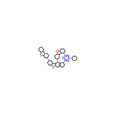 c1ccc(-c2nc(-c3ccccc3)nc(-c3cccc4oc5ccc(-c6cccc7sc8ccc(-c9ccc%10c(c9)sc9ccccc9%10)cc8c67)cc5c34)n2)cc1